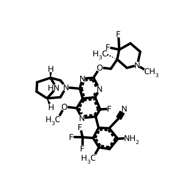 COc1nc(-c2c(C#N)c(N)cc(C)c2C(F)(F)F)c(F)c2nc(OC[C@]3(C)CN(C)CCC3(F)F)nc(N3C[C@H]4CC[C@@H](C3)N4)c12